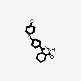 O=C1NN=C(c2ccc(Oc3ccc(Cl)cc3)cc2)C2CCCCC12